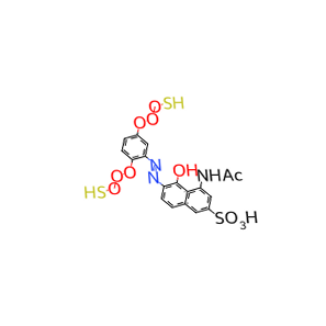 CC(=O)Nc1cc(S(=O)(=O)O)cc2ccc(N=Nc3cc(OOOS)ccc3OOOS)c(O)c12